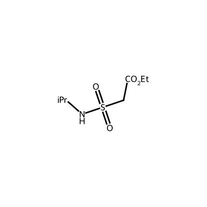 CCOC(=O)CS(=O)(=O)NC(C)C